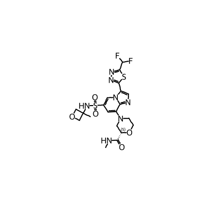 CNC(=O)[C@@H]1CN(c2cc(S(=O)(=O)NC3(C)COC3)cn3c(-c4nnc(C(F)F)s4)cnc23)CCO1